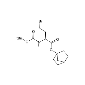 CC(C)(C)OC(=O)N[C@@H](CCBr)C(=O)OC12CCC(CC1)C2